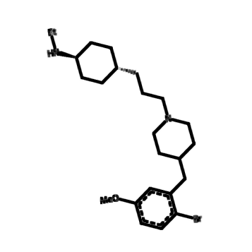 CCN[C@H]1CC[C@H](CCCN2CCC(Cc3cc(OC)ccc3Br)CC2)CC1